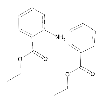 CCOC(=O)c1ccccc1.CCOC(=O)c1ccccc1N